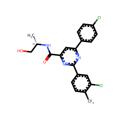 C[C@@H](CO)NC(=O)c1cc(-c2ccc(Cl)cc2)nc(-c2ccc(C(F)(F)F)c(Cl)c2)n1